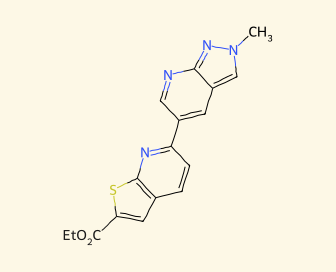 CCOC(=O)c1cc2ccc(-c3cnc4nn(C)cc4c3)nc2s1